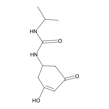 CC(C)NC(=O)NC1CC(=O)C=C(O)C1